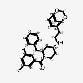 Cc1cc(C)cc(C(=O)N2CC[C@H](NCCc3ccc4cc3OCO4)C[C@@H]2Cc2ccccc2)c1